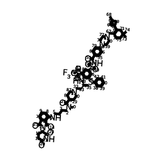 CN(CCCCNc1cccc2c1C(=O)N(C1CCC(=O)NC1=O)C2=O)C(=O)C1CCN(CC[C@H](CSc2ccccc2)Nc2ccc(S(=O)(=O)NC(=O)c3ccc(N4CCN(CC5=C(C67CC(C)(C6)C7)CC(C)(C)CC5)CC4)cc3)cc2S(=O)(=O)C(F)(F)F)CC1